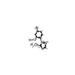 COc1cc(Br)ccc1-n1ncnc1C